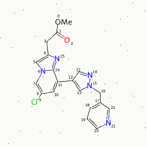 COC(=O)Cc1cn2cc(Cl)cc(-c3cnn(Cc4cccnc4)c3)c2n1